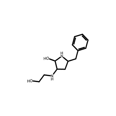 OCCNC1CC(Cc2ccccc2)NC1O